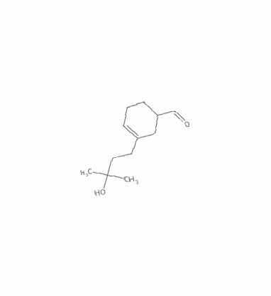 CC(C)(O)CCC1=CCCC(C=O)C1